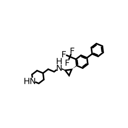 FC(F)(F)c1cc(-c2ccccc2)ccc1[C@@H]1C[C@H]1NCCC1CCNCC1